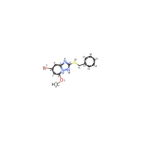 COc1cc(Br)cc2nc(SCc3ccccc3)nn12